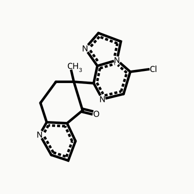 CC1(c2ncc(Cl)n3ccnc23)CCc2ncccc2C1=O